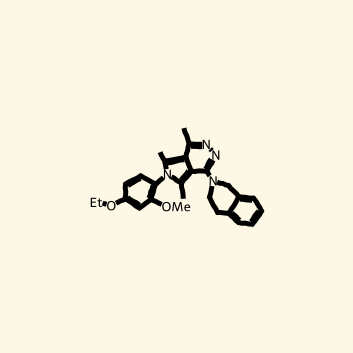 CCOc1ccc(-n2c(C)c3c(C)nnc(N4CCc5ccccc5C4)c3c2C)c(OC)c1